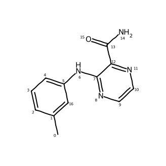 Cc1cccc(Nc2nccnc2C(N)=O)c1